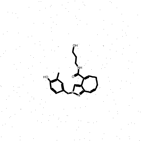 Cc1cc(Cn2cc3c(n2)/C=C\CC/C=C\3C(=O)NCCCO)ccc1O